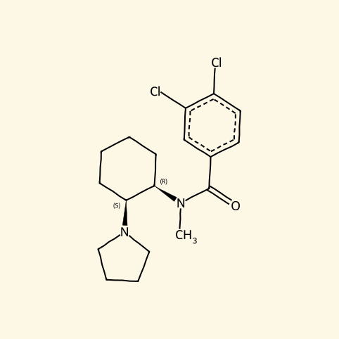 CN(C(=O)c1ccc(Cl)c(Cl)c1)[C@@H]1CCCC[C@@H]1N1CCCC1